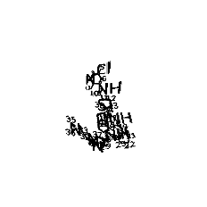 Cc1ncc(Cl)cc1N[C@@H](C)c1ccc(C(=O)N[C@@H](CC2CCCC2)C(=O)Nc2cnn(CCN(C)C)c2)s1